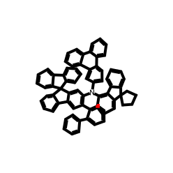 c1ccc(-c2ccccc2-c2cc3c(cc2N(c2ccc4c5ccccc5c5ccccc5c4c2)c2cccc4c2-c2ccccc2C42CCCC2)C2(c4ccccc4-c4ccccc42)c2ccccc2-3)cc1